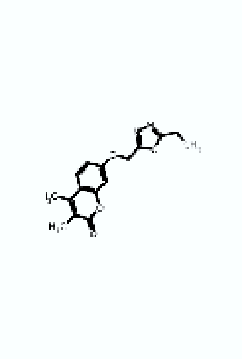 CCc1nnc(COc2ccc3c(C)c(C)c(=O)oc3c2)o1